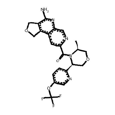 C[C@H]1COC[C@@H](c2ccc(OC(F)(F)F)cn2)N1C(=O)c1cc2c3c(c(N)nc2cn1)COC3